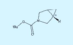 CC(C)(C)OC(=O)N1CC2C[C@@H]2C1